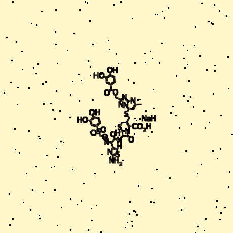 Cc1cc(SCC2=C(C(=O)O)N3C(=O)[C@@H](NC(=O)/C(=N\OCS(=O)(=O)c4ccc(O)c(O)c4)c4csc(N)n4)[C@H]3SC2)n2nc(COC(=O)c3ccc(O)c(O)c3)nc2n1.[NaH]